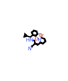 N#CC(=Cc1cccc(Br)n1)C(=O)N[C@@H](c1ccccc1)C1CC1